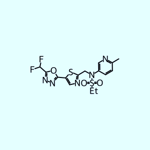 CCS(=O)(=O)N(Cc1ncc(-c2nnc(C(F)F)o2)s1)c1ccc(C)nc1